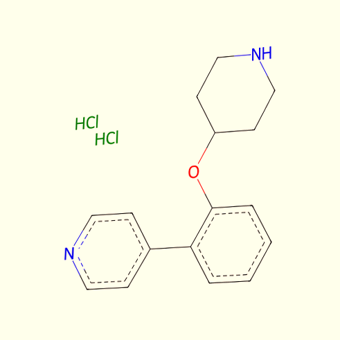 Cl.Cl.c1ccc(-c2ccncc2)c(OC2CCNCC2)c1